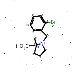 C[C@@]1(C(=O)O)CCCN1Cc1ccccc1Br